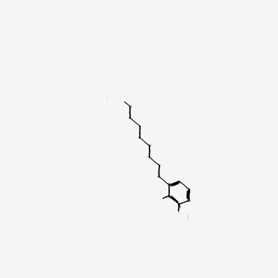 CCCCCCCCCc1cccc(O)c1O